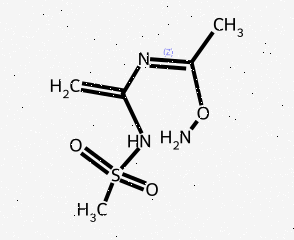 C=C(/N=C(/C)ON)NS(C)(=O)=O